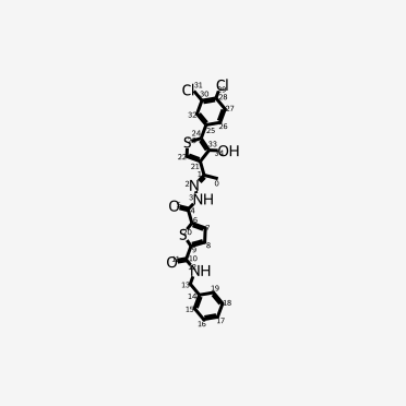 C/C(=N\NC(=O)c1ccc(C(=O)NCc2ccccc2)s1)c1csc(-c2ccc(Cl)c(Cl)c2)c1O